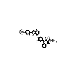 NC(=O)C1(C(=O)N(c2ccccc2)c2ccc(Oc3ccnc4cc(-c5ccc(C6OCCO6)cn5)sc34)c(F)c2)CC1